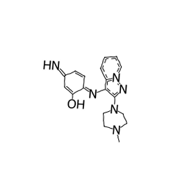 CN1CCN(c2nn3ccccc3c2/N=C2\C=CC(=N)C=C2O)CC1